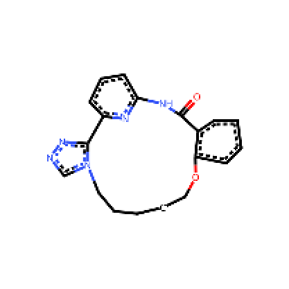 O=C1Nc2cccc(n2)-c2nncn2CCCCCOc2ccccc21